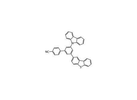 N#Cc1ccc(-c2cc(-c3ccc4sc5ccccc5c4c3)cc(-n3c4ccccc4c4ccccc43)c2)cc1